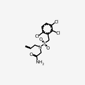 C=CCN(CC(N)=O)S(=O)(=O)Cc1c(Cl)ccc(Cl)c1Cl